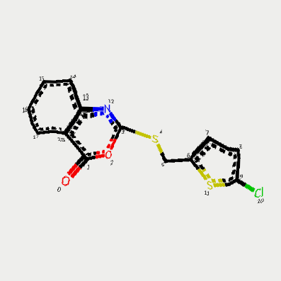 O=c1oc(SCc2ccc(Cl)s2)nc2ccccc12